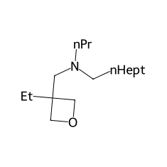 CCCCCCCCN(CCC)CC1(CC)COC1